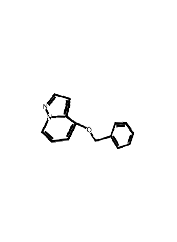 c1ccc(COc2cccn3nccc23)cc1